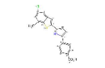 Cc1cc(Cl)cc2cc(-c3ccc(-c4ccc(C(=O)O)cc4)[nH]3)sc12